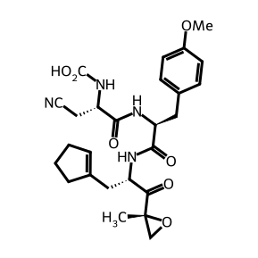 COc1ccc(C[C@H](NC(=O)[C@H](CC#N)NC(=O)O)C(=O)N[C@@H](CC2=CCCC2)C(=O)[C@@]2(C)CO2)cc1